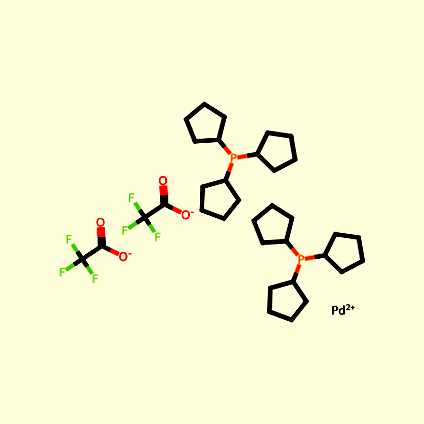 C1CCC(P(C2CCCC2)C2CCCC2)C1.C1CCC(P(C2CCCC2)C2CCCC2)C1.O=C([O-])C(F)(F)F.O=C([O-])C(F)(F)F.[Pd+2]